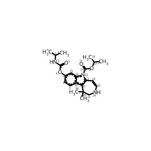 CC(C)NC(=O)Oc1ccc2c3c(n(C(=O)OC(C)C)c2c1)C=CNCC3(C)C